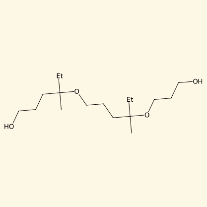 CCC(C)(CCCO)OCCCC(C)(CC)OCCCO